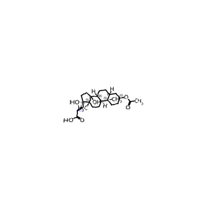 CC(=O)O[C@H]1CC[C@@]2(C)[C@H](CC[C@@H]3[C@@H]2CC[C@]2(C)[C@@](O)(/C=C/C(=O)O)CC[C@]32O)C1